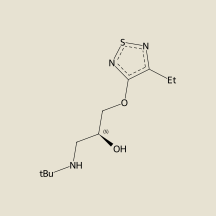 CCc1nsnc1OC[C@@H](O)CNC(C)(C)C